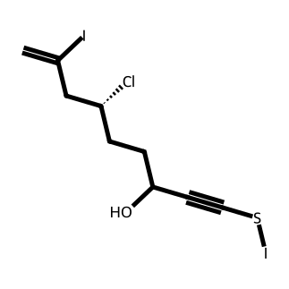 C=C(I)C[C@H](Cl)CCC(O)C#CSI